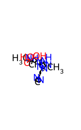 CNC(=O)C1(C)C[C@@H](n2cnc3c(NC)nc(C#Cc4ncccn4)nc32)[C@H](O)[C@@H]1O